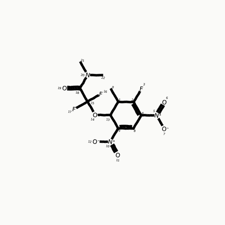 CC1C(F)=C([N+](=O)[O-])C=C([N+](=O)[O-])C1OC(F)(F)C(=O)N(C)C